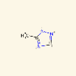 CC1=N[C]=N[N]1